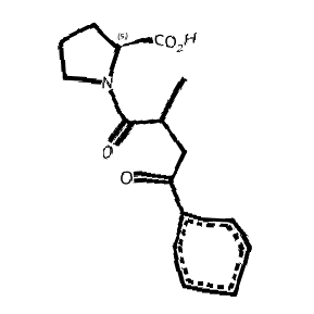 CC(CC(=O)c1ccccc1)C(=O)N1CCC[C@H]1C(=O)O